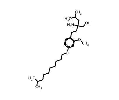 COc1cc(OCCCCCCCCC(C)C)ccc1CCC(N)(CO)CC(C)C